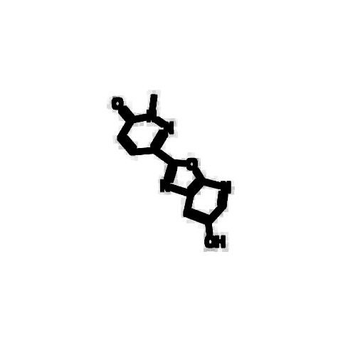 Cn1nc(-c2nc3cc(O)cnc3o2)ccc1=O